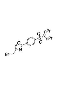 CCCN(CCC)S(=O)(=O)c1ccc(-c2nc(CBr)co2)cc1